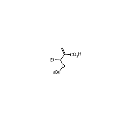 C=C(C(=O)O)C(CC)OCCCC